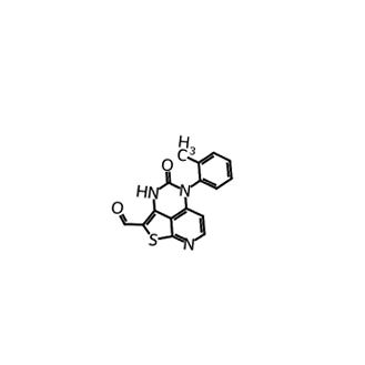 Cc1ccccc1N1C(=O)Nc2c(C=O)sc3nccc1c23